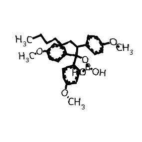 CCCCCCC(c1ccc(OC)cc1)C(OB(O)O)(c1ccc(OC)cc1)c1ccc(OC)cc1